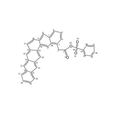 O=C(Cc1cccc2cc3ccc4cc5cc6ccccc6cc5cc4c3cc12)OS(=O)(=O)c1ccccc1